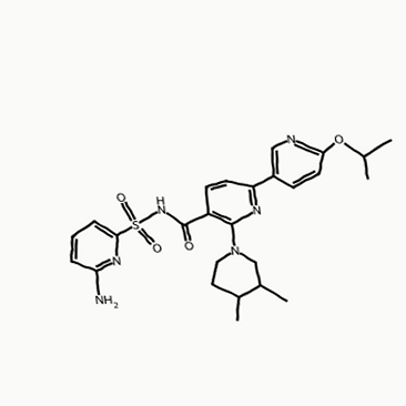 CC(C)Oc1ccc(-c2ccc(C(=O)NS(=O)(=O)c3cccc(N)n3)c(N3CCC(C)C(C)C3)n2)cn1